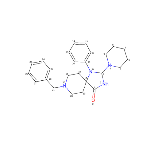 O=C1NC(N2CCCCC2)N(c2ccccc2)C12CCN(Cc1ccccc1)CC2